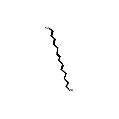 CCCCCC=CCC=CCC=CC=CO